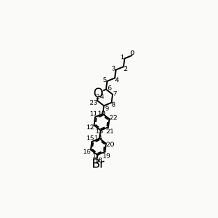 CCCCCCC1CCC(c2ccc(-c3ccc(Br)cc3)cc2)CO1